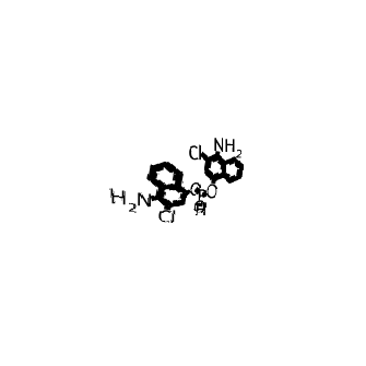 Nc1c(Cl)cc(O[PH](=O)Oc2cc(Cl)c(N)c3ccccc23)c2ccccc12